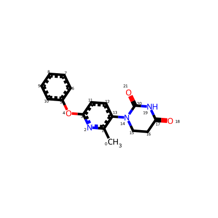 Cc1nc(Oc2ccccc2)ccc1N1CCC(=O)NC1=O